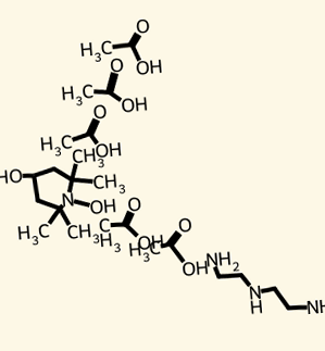 CC(=O)O.CC(=O)O.CC(=O)O.CC(=O)O.CC(=O)O.CC1(C)CC(O)CC(C)(C)N1O.NCCNCCN